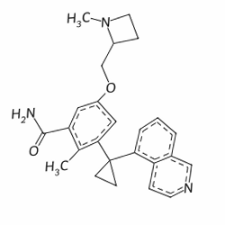 Cc1c(C(N)=O)cc(OCC2CCN2C)cc1C1(c2cccc3cnccc23)CC1